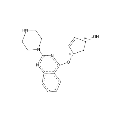 O[C@H]1C=C[C@@H](Oc2nc(N3CCNCC3)nc3ccccc23)C1